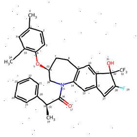 Cc1ccc(O[C@H]2CCc3cc4c(cc3N(C(=O)[C@@H](C)c3ccccc3)C2)C=C(F)C4(O)C(F)(F)F)c(C)c1